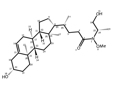 CON(C(=O)CC[C@@H](C)[C@H]1CC[C@H]2[C@@H]3CC=C4C[C@@H](O)CC[C@]4(C)[C@H]3CC[C@]12C)[C@@H](C)CO